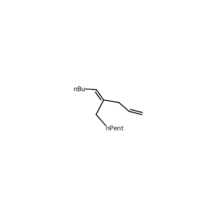 C=CCC(=CCCCC)CCCCCC